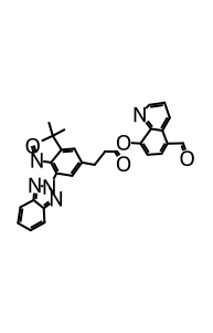 CC(C)(C)c1cc(CCC(=O)Oc2ccc(C=O)c3cccnc23)cc(-n2nc3ccccc3n2)c1N=O